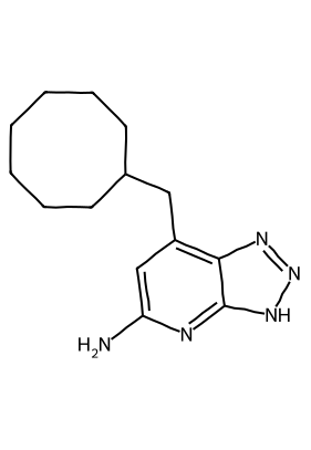 Nc1cc(CC2CCCCCCC2)c2nn[nH]c2n1